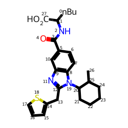 CCCCC(NC(=O)c1ccc2c(c1)nc(Cc1cccs1)n2C1CCCCC1C)C(=O)O